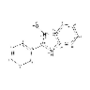 O[n+]1c(C2=CC=CCC2)[nH]c2ccccc21